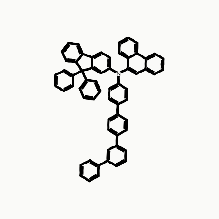 c1ccc(-c2cccc(-c3ccc(-c4ccc(N(c5ccc6c(c5)C(c5ccccc5)(c5ccccc5)c5ccccc5-6)c5cc6ccccc6c6ccccc56)cc4)cc3)c2)cc1